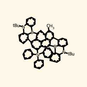 Cc1cc2c3c(cc4c([Si](c5ccccc5)(c5ccccc5)c5ccccc5)cc5c6c(cc1c3c46)B1c3ccccc3N(C(C)(C)C)c3cccc-5c31)B1c3ccccc3N(C(C)(C)C)c3cccc-2c31